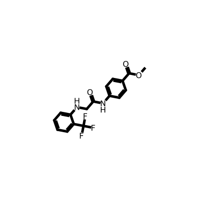 COC(=O)c1ccc(NC(=O)CNc2ccccc2C(F)(F)F)cc1